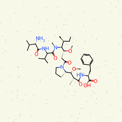 CC[C@H](C)[C@@H]([C@@H](CC(=O)N1CCC[C@H]1[C@H](OC)[C@@H](C)C(=O)N[C@@H](Cc1ccccc1)C(=O)O)OC)N(C)C(=O)C(NC(=O)[C@@H](N)C(C)C)C(C)C